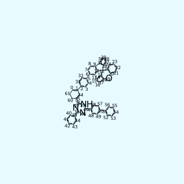 C1=C(c2ccc(-c3ccc4c(c3)C3(c5ccccc5Oc5ccccc53)c3ccccc3-4)cc2)C=C(C2N=C(c3ccccc3)N=C(c3ccc(-c4ccccc4)cc3)N2)CC1